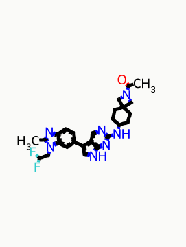 CC(=O)N1CC2(CCC(Nc3ncc4c(-c5ccc6nc(C)n(CC(F)F)c6c5)c[nH]c4n3)CC2)C1